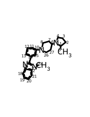 CC1CCCN1C1CCN(c2cccc(-c3nc4ccccc4n3C)c2)CC1